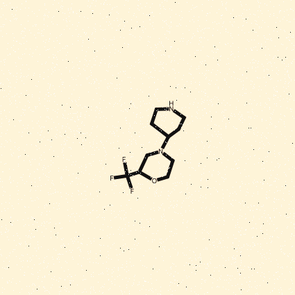 FC(F)(F)C1CN(C2CCNCC2)CCO1